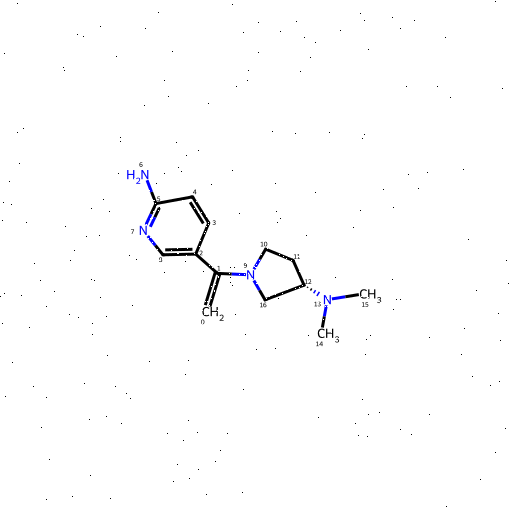 C=C(c1ccc(N)nc1)N1CC[C@H](N(C)C)C1